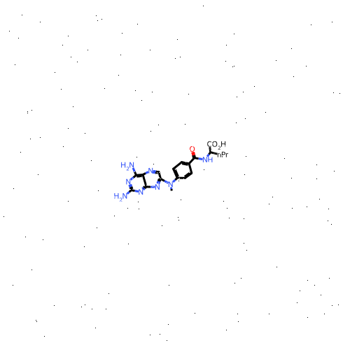 CCCC(NC(=O)c1ccc(N(C)c2cnc3c(N)nc(N)nc3n2)cc1)C(=O)O